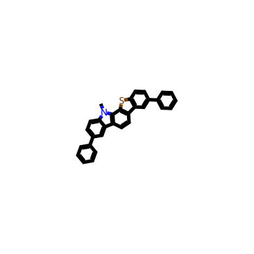 Cn1c2ccc(-c3ccccc3)cc2c2ccc3c4cc(-c5ccccc5)ccc4sc3c21